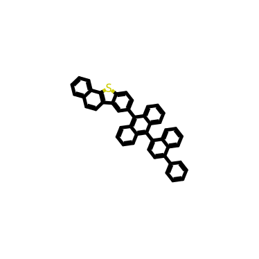 c1ccc(-c2ccc(-c3c4ccccc4c(-c4ccc5sc6c7ccccc7ccc6c5c4)c4ccccc34)c3ccccc23)cc1